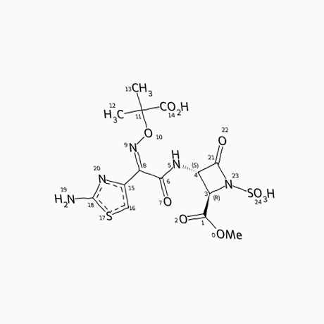 COC(=O)[C@H]1[C@H](NC(=O)C(=NOC(C)(C)C(=O)O)c2csc(N)n2)C(=O)N1S(=O)(=O)O